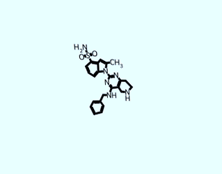 Cc1cc2c(S(N)(=O)=O)cccc2n1-c1nc2c(c(NCc3ccccc3)n1)CNCC2